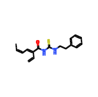 C=C/C(=C\C=C/C)C(=O)NC(=S)NCCc1ccccc1